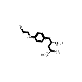 N[C@@H](C[C@H](Cc1ccc(OCCF)cc1)C(=O)O)C(=O)O